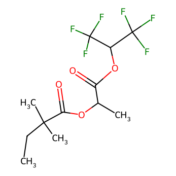 CCC(C)(C)C(=O)OC(C)C(=O)OC(C(F)(F)F)C(F)(F)F